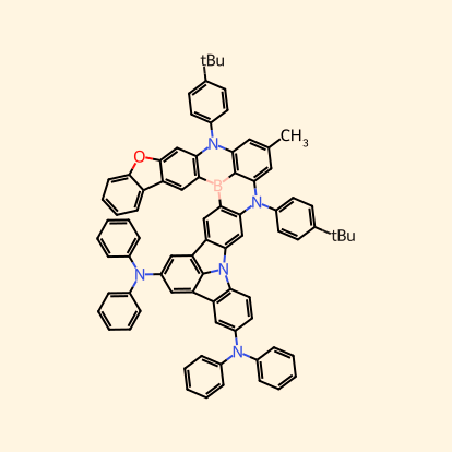 Cc1cc2c3c(c1)N(c1ccc(C(C)(C)C)cc1)c1cc4c(cc1B3c1cc3c(cc1N2c1ccc(C(C)(C)C)cc1)oc1ccccc13)c1cc(N(c2ccccc2)c2ccccc2)cc2c3cc(N(c5ccccc5)c5ccccc5)ccc3n4c21